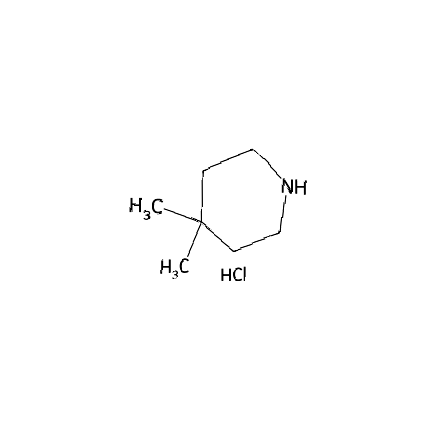 CC1(C)CCNCC1.Cl